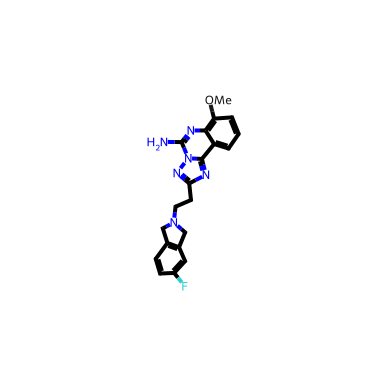 COc1cccc2c1nc(N)n1nc(CCN3Cc4ccc(F)cc4C3)nc21